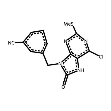 CSc1nc(Cl)c2[nH]c(=O)n(Cc3cccc(C#N)c3)c2n1